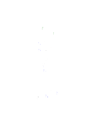 Cn1ccnc1OCc1ccc(-c2nnc(C(F)F)o2)cn1